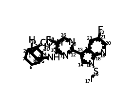 O=C(O)[C@H]1C2CCC(CC2)[C@@H]1Nc1nc(-c2cn(SI)c3ncc(F)cc23)ncc1F